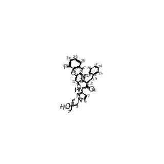 CC(C)(O)Cn1ccc(NC(=O)C(Cc2ccccc2)n2ncc(Oc3c(F)cccc3F)cc2=O)n1